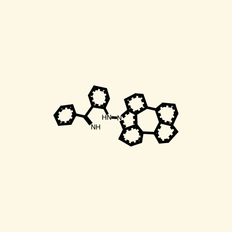 N=C(c1ccccc1)c1ccccc1Nn1c2cccc3c2c2c(cccc21)-c1cccc2cccc-3c12